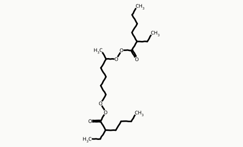 CCCCC(CC)C(=O)OOCCCCC(C)OOC(=O)C(CC)CCCC